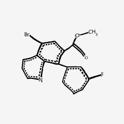 COC(=O)c1cc(Br)c2cccnc2c1-c1cccc(F)c1